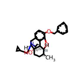 C[C@H]1CC[C@@]2(O)[C@H]3Cc4ccc(OCc5ccccc5)c5c4[C@@]2(CCN3CC2CC2)[C@H]1O5